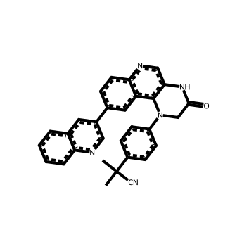 CC(C)(C#N)c1ccc(N2CC(=O)Nc3cnc4ccc(-c5cnc6ccccc6c5)cc4c32)cc1